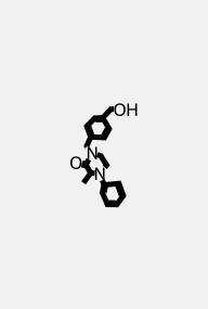 CC1C(=O)N(Cc2ccc(CO)cc2)CCN1c1ccccc1